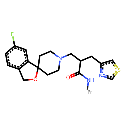 CC(C)NC(=O)C(Cc1cscn1)CN1CCC2(CC1)OCc1ccc(F)cc12